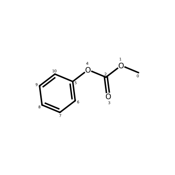 COC(=O)Oc1ccccc1